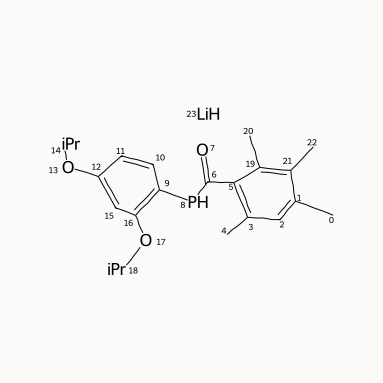 Cc1cc(C)c(C(=O)Pc2ccc(OC(C)C)cc2OC(C)C)c(C)c1C.[LiH]